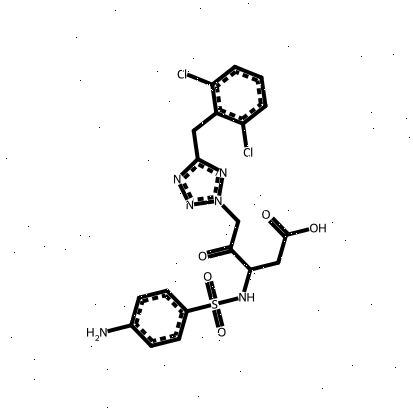 Nc1ccc(S(=O)(=O)NC(CC(=O)O)C(=O)Cn2nnc(Cc3c(Cl)cccc3Cl)n2)cc1